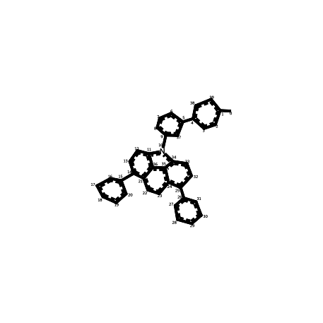 Cc1ccc(-c2cccc(-n3c4ccc(-c5ccccc5)c5ccc6c(-c7ccccc7)ccc3c6c54)c2)cc1